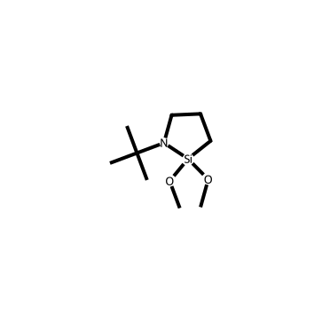 CO[Si]1(OC)CCCN1C(C)(C)C